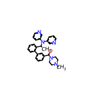 CC(c1ccccc1-c1cccc(C(=O)N2CCN(C)CC2)c1)N(c1cccnc1)c1cccnc1